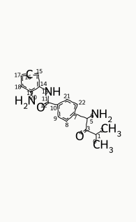 CC(C)C(=O)C(N)c1ccc(C(=O)Nc2ccccc2N)cc1